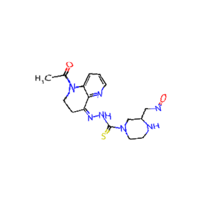 CC(=O)N1CC/C(=N/NC(=S)N2CCNC(CN=O)C2)c2ncccc21